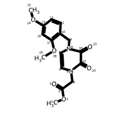 COC(=O)Cn1ccn(Cc2ccc(OC)cc2OC)c(=O)c1=O